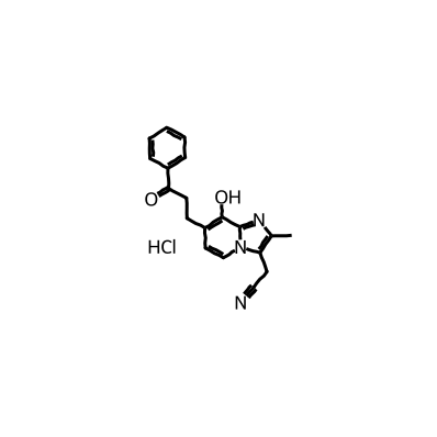 Cc1nc2c(O)c(CCC(=O)c3ccccc3)ccn2c1CC#N.Cl